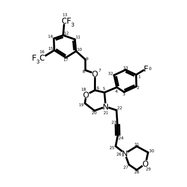 Fc1ccc(C2C(OCCc3cc(C(F)(F)F)cc(C(F)(F)F)c3)OCCN2CC#CCN2CCOCC2)cc1